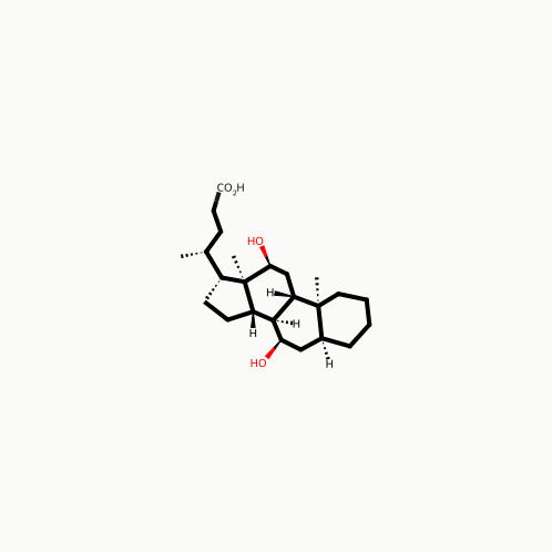 C[C@H](CCC(=O)O)[C@H]1CC[C@H]2[C@@H]3[C@H](O)C[C@@H]4CCCC[C@]4(C)[C@H]3C[C@H](O)[C@]12C